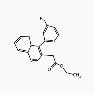 CCOC(=O)CC1=C(c2cccc(Br)c2)C2CC=CC=C2N=C1